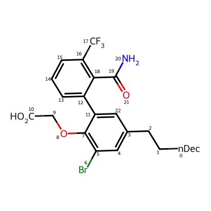 CCCCCCCCCCCCc1cc(Br)c(OCC(=O)O)c(-c2cccc(C(F)(F)F)c2C(N)=O)c1